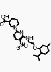 CC1CCC(C(C)C)C(OCCNc2nc(N3CCCC(C(=O)O)C3)ccc2[N+](=O)[O-])C1